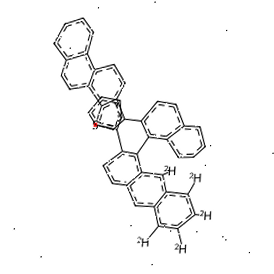 [2H]c1c([2H])c([2H])c2c([2H])c3c(-c4c(-c5csc6c5ccc5c7ccccc7ccc56)ccc5ccccc45)c(-c4ccccc4)ccc3cc2c1[2H]